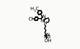 Cc1ccc(-c2nc3c(nc2-c2ccc(Cl)cc2)N(CCCCCc2noc(O)n2)CCC3)cc1